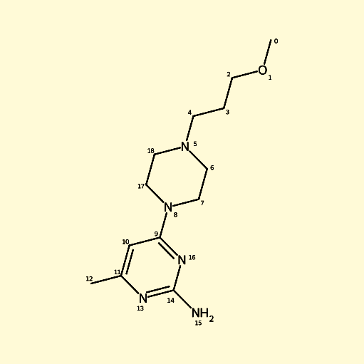 COCCCN1CCN(c2cc(C)nc(N)n2)CC1